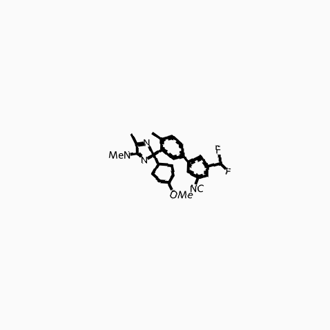 CNC1=NC(c2cc(-c3cc(C#N)cc(C(F)F)c3)ccc2C)(C2CCC(OC)CC2)N=C1C